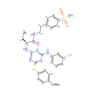 COc1ccc(Sc2nc(Nc3cccc(F)c3)nc(N[C@@H](CC(C)C)C(=O)NCCc3ccc(S(N)(=O)=O)cc3)n2)cc1